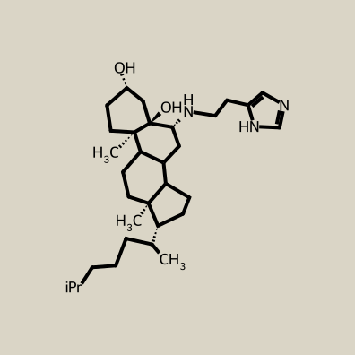 CC(C)CCCC(C)[C@H]1CCC2C3C[C@@H](NCCc4cnc[nH]4)[C@@]4(O)C[C@@H](O)CC[C@]4(C)C3CC[C@@]21C